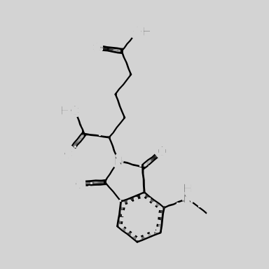 CNc1cccc2c1C(=O)N(C(CCCC(=O)O)C(=O)O)C2=O